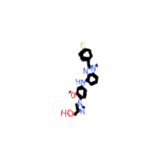 COc1cc(Nc2cccc3c2nc(-c2ccc(F)cc2)n3C)ccc1-n1cnc(CO)c1